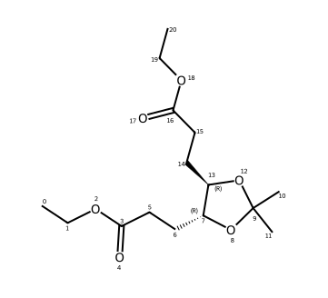 CCOC(=O)CC[C@H]1OC(C)(C)O[C@@H]1CCC(=O)OCC